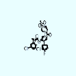 CN(C(=O)N(C)[C@@H]1CN(C(=O)N2CCN(S(C)(=O)=O)CC2)C[C@H]1c1ccc(F)cc1)c1cc(Cl)cc(Cl)c1